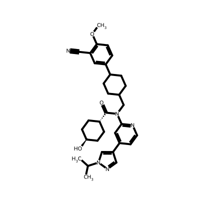 COc1ccc(C2CCC(CN(c3cc(-c4cnn(C(C)C)c4)ccn3)C(=O)[C@H]3CC[C@H](O)CC3)CC2)cc1C#N